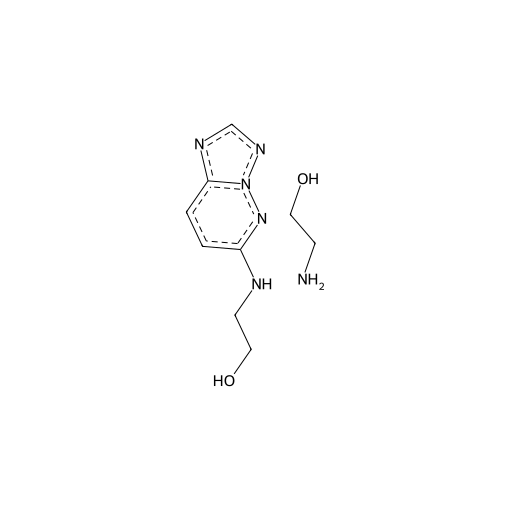 NCCO.OCCNc1ccc2ncnn2n1